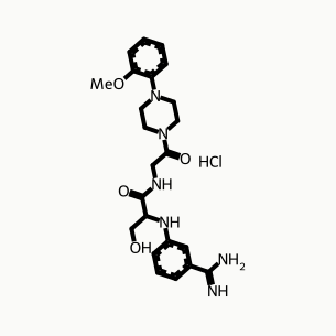 COc1ccccc1N1CCN(C(=O)CNC(=O)C(CO)Nc2cccc(C(=N)N)c2)CC1.Cl